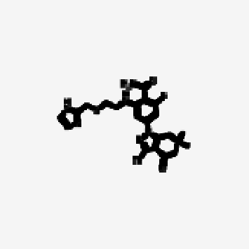 CCc1nn(-c2cc(F)c(C(N)=O)c(NCCSCc3ncc[nH]3)c2)c2c1C(=O)CC(C)(C)C2